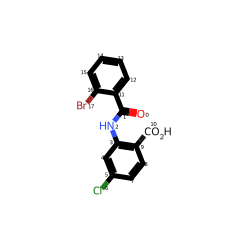 O=C(Nc1cc(Cl)ccc1C(=O)O)c1ccccc1Br